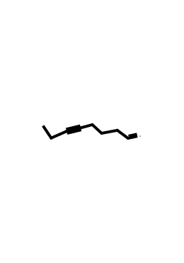 [CH]=CCCCC#CCC